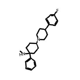 CNC1(c2ccccc2)CCC(N2CCC(c3ccc(F)cc3)CC2)CC1